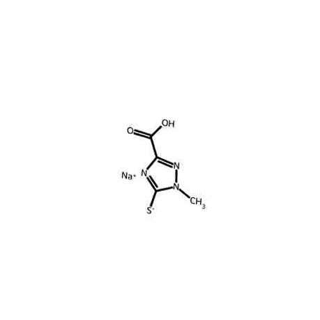 Cn1nc(C(=O)O)nc1[S-].[Na+]